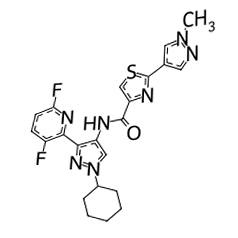 Cn1cc(-c2nc(C(=O)Nc3cn(C4CCCCC4)nc3-c3nc(F)ccc3F)cs2)cn1